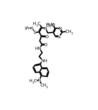 CC(=C(SSC(C)C)C(=O)CC(=O)NCCNc1cccc2c(N(C)C)cccc12)N(C=O)Cc1cnc(C)nc1N